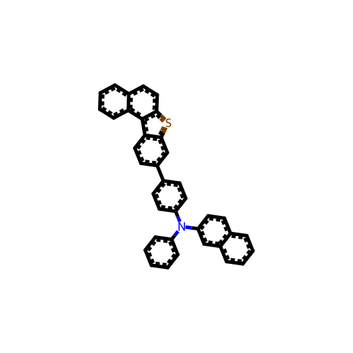 c1ccc(N(c2ccc(-c3ccc4c(c3)sc3ccc5ccccc5c34)cc2)c2ccc3ccccc3c2)cc1